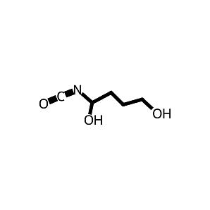 O=C=NC(O)CCCO